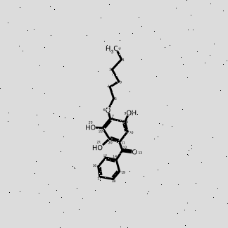 CCCCCCOc1c(O)cc(C(=O)c2ccccc2)c(O)c1O